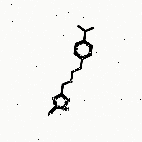 CC(C)c1ccc(CCSCc2n[nH]c(=S)o2)cc1